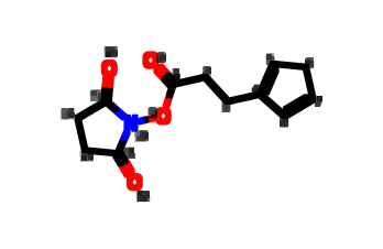 O=C(CCC1=CCC=C1)ON1C(=O)CCC1=O